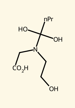 CCCC(O)(O)N(CCO)CC(=O)O